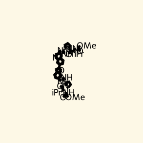 COC(=O)N[C@H](C(=O)N1CCC[C@H]1c1nc2cnc3cc(-c4cc5ccc6nc([C@@H]7CCCN7C(=O)[C@@H](NC(=O)OC)C(C)C)[nH]c6c5o4)ccc3c2[nH]1)C(C)C